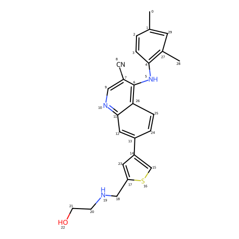 Cc1ccc(Nc2c(C#N)cnc3cc(-c4csc(CNCCO)c4)ccc23)c(C)c1